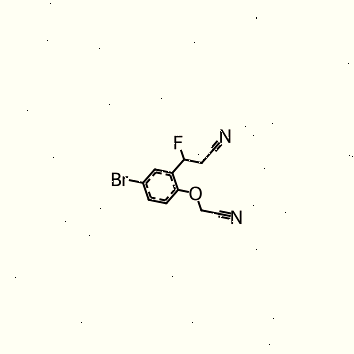 N#CCOc1ccc(Br)cc1C(F)CC#N